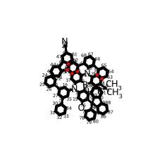 CC(C)(C)c1ccc2c(c1)B1c3cc4c(cc3N(c3cc(-c5ccccc5)cc(-c5ccccc5)c3)c3cc(-n5c6ccccc6c6cc(C#N)ccc65)cc(c31)N2c1c(-c2ccccc2)cccc1-c1ccccc1)Oc1ccccc1C41c2ccccc2-c2ccccc21